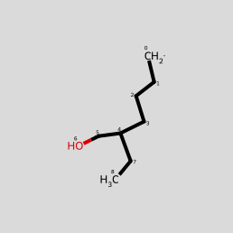 [CH2]CCCC([CH]O)CC